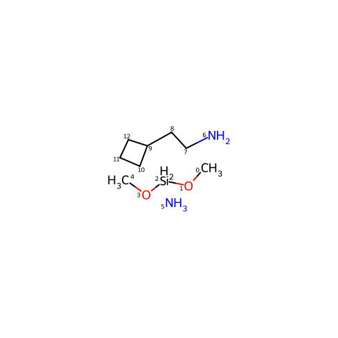 CO[SiH2]OC.N.NCCC1CCC1